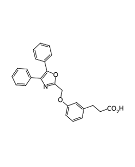 O=C(O)CCc1cccc(OCc2nc(-c3ccccc3)c(-c3ccccc3)o2)c1